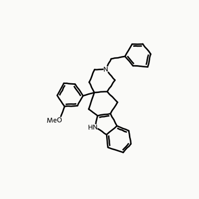 COc1cccc(C23CCN(Cc4ccccc4)CC2Cc2c([nH]c4ccccc24)C3)c1